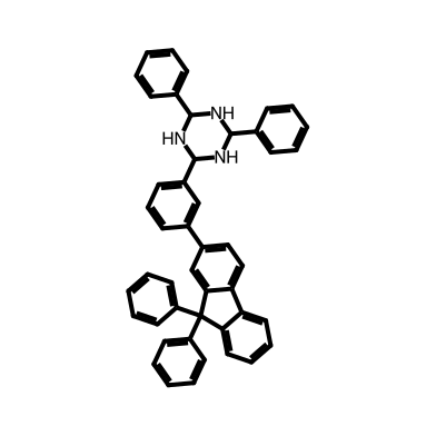 c1ccc(C2NC(c3ccccc3)NC(c3cccc(-c4ccc5c(c4)C(c4ccccc4)(c4ccccc4)c4ccccc4-5)c3)N2)cc1